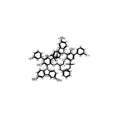 CC(C)(C)CC(C)(C)c1cc(-c2cccc(F)c2)c(O)c(-n2c3ccc(C(C)(C)C)cc3c3cc(C(C)(C)C)ccc32)c1OCC(COc1c(C(C)(C)CC(C)(C)C)cc(-c2cccc(F)c2)c(O)c1-n1c2ccc(C(C)(C)C)cc2c2cc(C(C)(C)C)ccc21)Cc1ccccc1